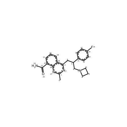 Cc1nc(CC(CN2CCC2)c2ccc(F)cc2)c2cccc(C(N)=O)c2n1